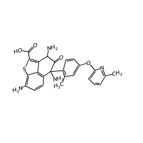 Cc1cccc(Oc2ccc(C3(N)C(=O)C(N)c4c(C(=O)O)sc5c(N)ccc3c45)c(C)c2)n1